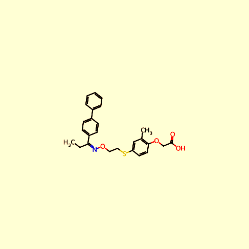 CCC(=NOCCSc1ccc(OCC(=O)O)c(C)c1)c1ccc(-c2ccccc2)cc1